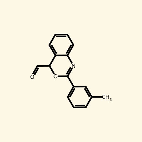 Cc1cccc(C2=Nc3ccccc3C(C=O)O2)c1